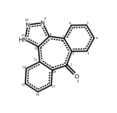 O=c1c2ccccc2c2nn[nH]c2c2ccccc12